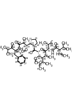 CC[C@H](C)[C@@H]([C@@H](CC(=O)N1CCC[C@H]1[C@H](OC)[C@@H](C)C(=O)N[C@@H](Cc1ccccc1)C(=O)C(C)C)OC)N(C)C(=O)[C@@H](NC(=O)[C@@H](NC)C(C)C)C(C)C